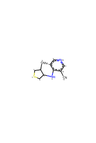 COC1CSCC1Nc1ccncc1C#N